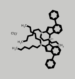 CCCCCCP(CCCCCC)C1=Cc2c(-c3ccccc3)cccc2[CH]1[Zr+2][CH]1C(P(CCCCCC)CCCCCC)=Cc2c(-c3ccccc3)cccc21.[Cl-].[Cl-]